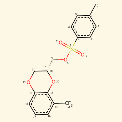 Cc1ccc(S(=O)(=O)OC[C@H]2COc3cccc(C(F)(F)F)c3O2)cc1